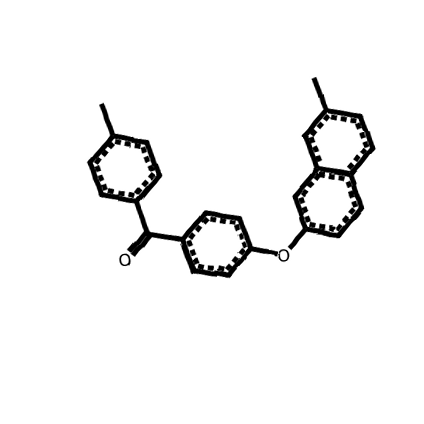 Cc1ccc(C(=O)c2ccc(Oc3ccc4ccc(C)cc4c3)cc2)cc1